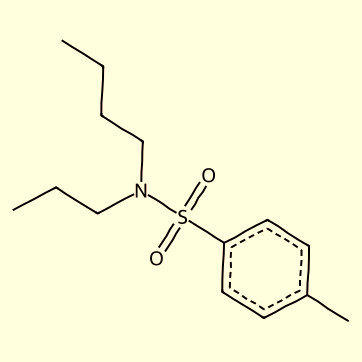 CCCCN(CCC)S(=O)(=O)c1ccc(C)cc1